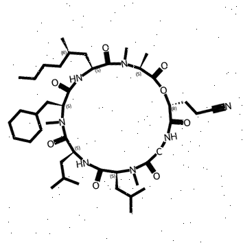 CCCC[C@@H](C)C[C@@H]1NC(=O)[C@H](CC2CCCCC2)N(C)C(=O)[C@H](CC(C)C)NC(=O)[C@H](CC(C)C)N(C)C(=O)CNC(=O)[C@@H](CCC#N)OC(=O)[C@H](C)N(C)C1=O